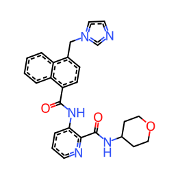 O=C(NC1CCOCC1)c1ncccc1NC(=O)c1ccc(Cn2ccnc2)c2ccccc12